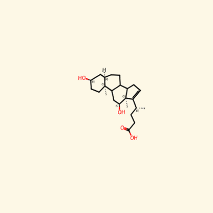 C[C@H](CCC(=O)O)C1=CCC2C3CC[C@@H]4C[C@H](O)CC[C@]4(C)C3C[C@H](O)[C@]12C